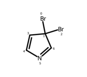 BrC1(Br)C=CN=C1